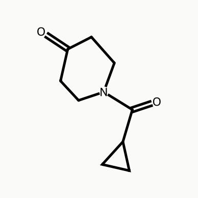 O=C1CCN(C(=O)C2CC2)CC1